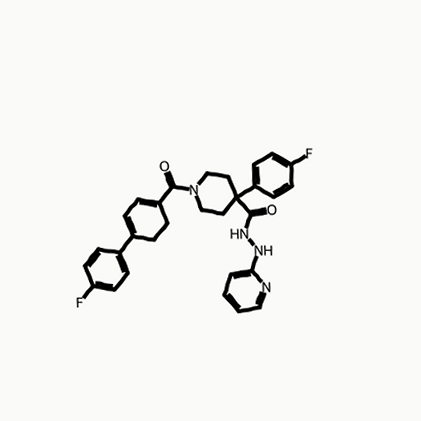 O=C(C1=CC=C(c2ccc(F)cc2)CC1)N1CCC(C(=O)NNc2ccccn2)(c2ccc(F)cc2)CC1